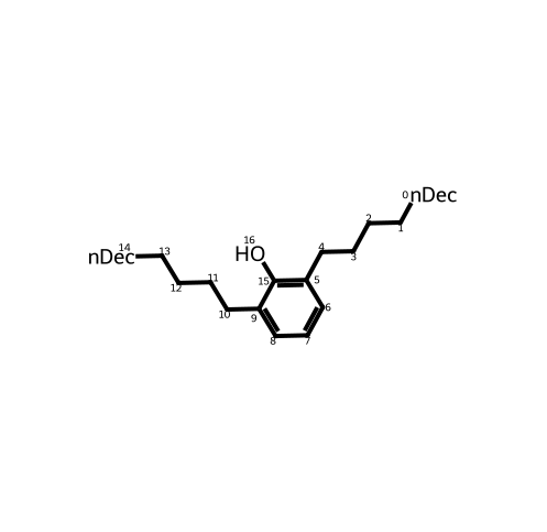 CCCCCCCCCCCCCCc1cccc(CCCCCCCCCCCCCC)c1O